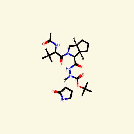 CC(=O)NC(C(=O)N1C[C@@H]2CCC[C@@H]2[C@H]1C(=O)NN(C[C@@H]1CCNC1=O)C(=O)OC(C)(C)C)C(C)(C)C